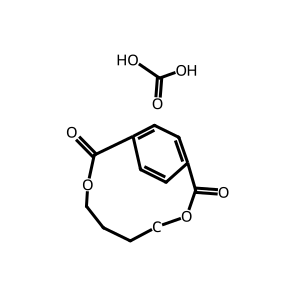 O=C(O)O.O=C1OCCCCOC(=O)c2ccc1cc2